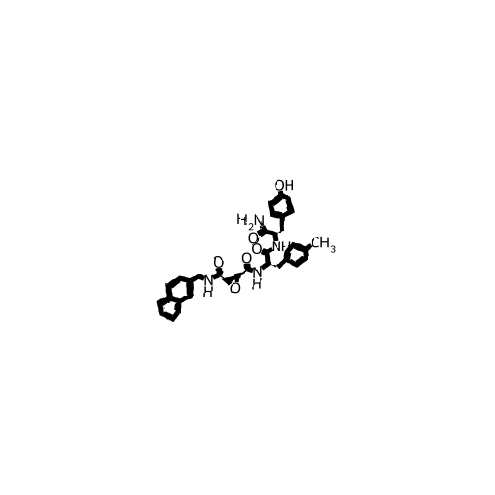 Cc1ccc(C[C@H](NC(=O)[C@H]2O[C@@H]2C(=O)NCc2ccc3ccccc3c2)C(=O)N[C@@H](Cc2ccc(O)cc2)C(N)=O)cc1